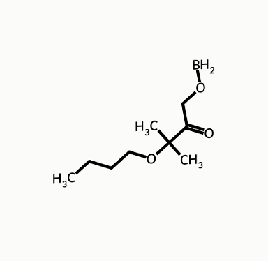 BOCC(=O)C(C)(C)OCCCC